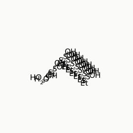 CCSCCSCC(O)O.CCSCCSCC(O)O.CCSCCSCC(O)O.CCSCCSCC(O)O.CCSCCSCC(O)O.CCSCCSCC(O)O.CCSCCSCC(O)O.CCSCCSCC(O)O.O.O=S(=O)(O)O